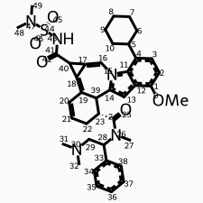 COc1ccc(C2CCCCC2)c2c1cc1n2C=C2C(=C3C=CC[C@@H](C(=O)N(C)C(CN(C)C)c4ccccc4)C31)C2C(=O)NS(=O)(=O)N(C)C